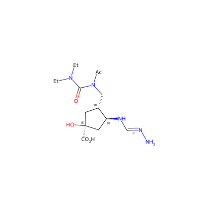 CCN(CC)C(=O)N(C[C@H]1C[C@@](O)(C(=O)O)C[C@@H]1N/C=N/N)C(C)=O